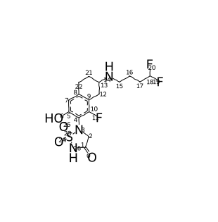 O=C1CN(c2c(O)cc3c(c2F)CC(NCCCC(F)F)CC3)S(=O)(=O)N1